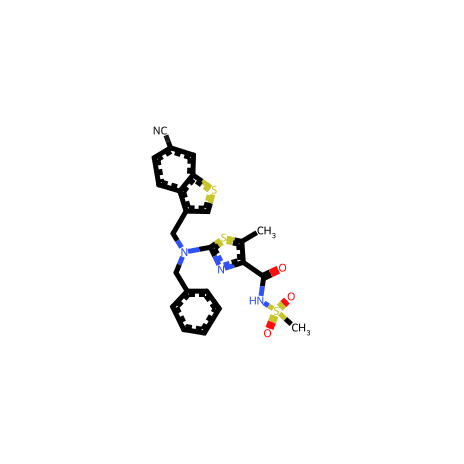 Cc1sc(N(Cc2ccccc2)Cc2csc3cc(C#N)ccc23)nc1C(=O)NS(C)(=O)=O